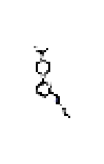 CCO/C=C/c1cccc(N2CCN(C(C)=O)CC2)n1